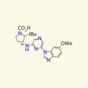 COc1ccc2ncn(-c3cncc(N[C@@H]4CCN(C(=O)O)C4C(C)(C)C)n3)c2c1